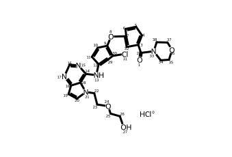 Cl.O=C(c1cccc(Oc2ccc(Nc3ncnc4ccn(CCOCCO)c34)cc2Cl)c1)N1CCOCC1